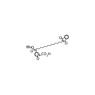 CC(C)(C)OC(=O)N(CCCCCCCCCCCCCCN1C(=O)c2ccccc2C1=O)c1ccc(=O)n(CC(=O)O)c1